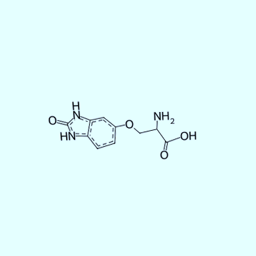 NC(COc1ccc2[nH]c(=O)[nH]c2c1)C(=O)O